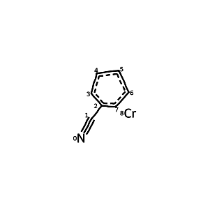 N#Cc1ccccc1.[Cr]